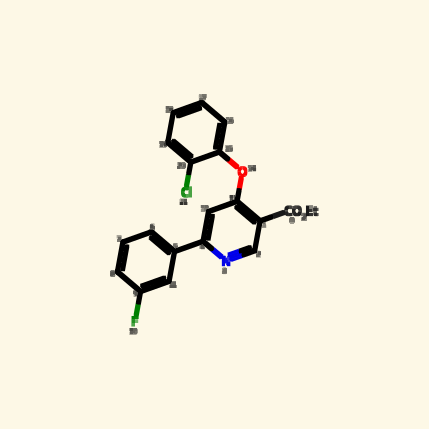 CCOC(=O)c1cnc(-c2cccc(F)c2)cc1Oc1ccccc1Cl